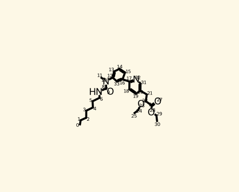 CCCCCCCNC(=O)N(C)c1cccc(-c2ccc(CC(OCC)C(=O)OCC)cn2)c1